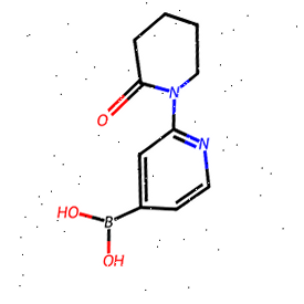 O=C1CCCCN1c1cc(B(O)O)ccn1